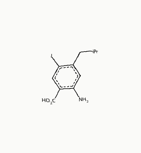 CC(C)Cc1cc(N)c(C(=O)O)cc1I